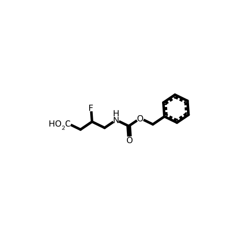 O=C(O)CC(F)CNC(=O)OCc1ccccc1